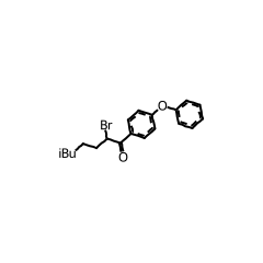 CCC(C)CCC(Br)C(=O)c1ccc(Oc2ccccc2)cc1